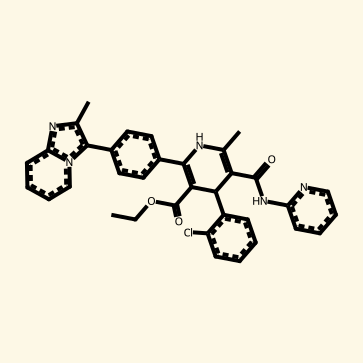 CCOC(=O)C1=C(c2ccc(-c3c(C)nc4ccccn34)cc2)NC(C)=C(C(=O)Nc2ccccn2)C1c1ccccc1Cl